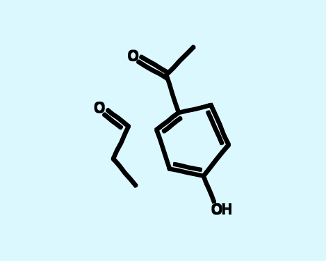 CC(=O)c1ccc(O)cc1.CCC=O